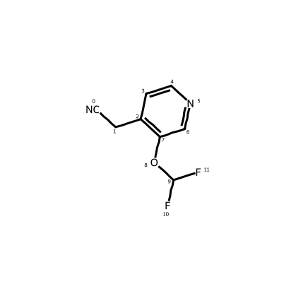 N#CCc1ccncc1OC(F)F